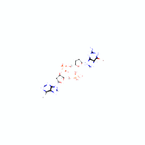 CCc1ncnc2c1ncn2[C@H]1CC(OP(=O)(O)OC[C@@H]2CC[C@H](n3cnc4c(=O)[nH]c(N)nc43)O2)[C@@H](COP(=O)(O)O)O1